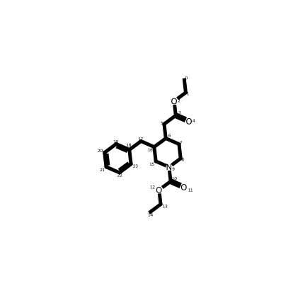 CCOC(=O)CC1CCN(C(=O)OCC)CC1Cc1ccccc1